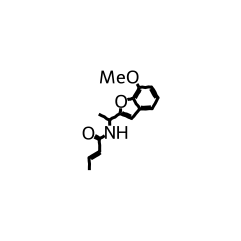 C/C=C/C(=O)NC(C)c1cc2cccc(OC)c2o1